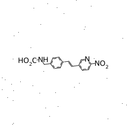 O=C(O)NCc1ccc(C=Cc2ccc([N+](=O)[O-])nc2)cc1